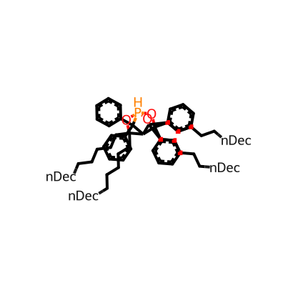 CCCCCCCCCCCCCCCC1(CCCCCCCCCCCCCCC)O[PH]23OC(CCCCCCCCCCCCCCC)(CCCCCCCCCCCCCCC)C1(C(c1ccccc1)(c1ccccc1)O2)C3(c1ccccc1)c1ccccc1